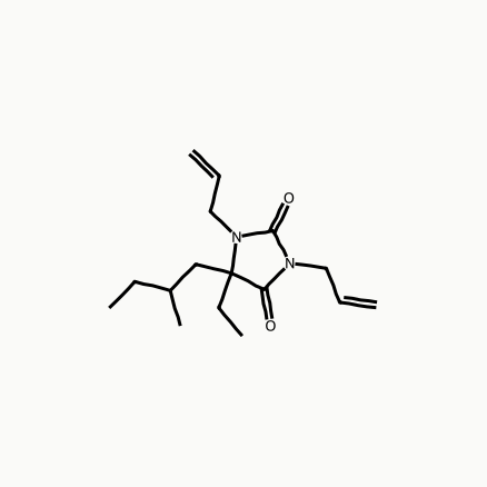 C=CCN1C(=O)N(CC=C)C(CC)(CC(C)CC)C1=O